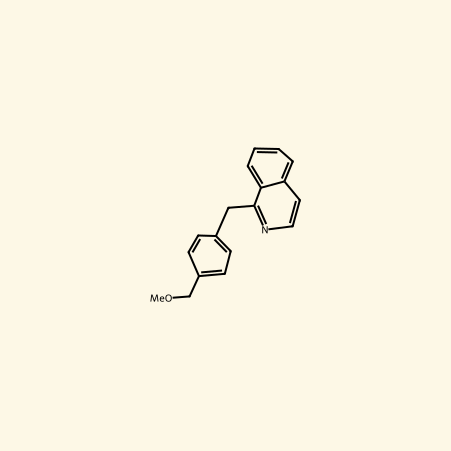 COCc1ccc(Cc2nccc3ccccc23)cc1